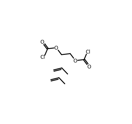 C=CC.C=CC.O=C(Cl)OCCOC(=O)Cl